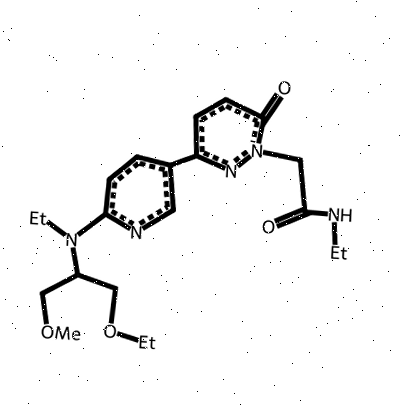 CCNC(=O)Cn1nc(-c2ccc(N(CC)C(COC)COCC)nc2)ccc1=O